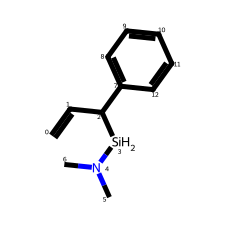 C=CC([SiH2]N(C)C)c1ccccc1